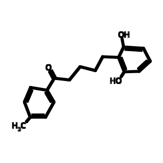 Cc1ccc(C(=O)CCCCc2c(O)cccc2O)cc1